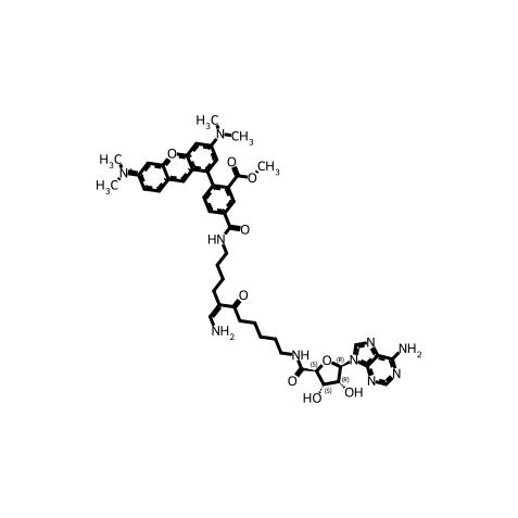 COC(=O)c1cc(C(=O)NCCCCC(=CN)C(=O)CCCCCNC(=O)[C@H]2O[C@@H](n3cnc4c(N)ncnc43)[C@H](O)[C@@H]2O)ccc1-c1cc(N(C)C)cc2oc3cc(=[N+](C)C)ccc-3cc12